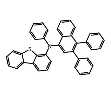 c1ccc(-c2cc(N(c3ccccc3)c3cccc4c3sc3ccccc34)c3ccccc3c2-c2ccccc2)cc1